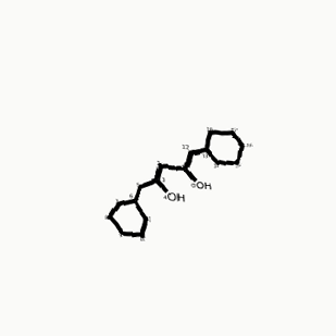 OC(CC(O)CC1CCCCC1)CC1CCCCC1